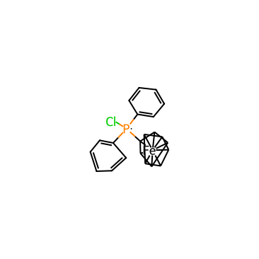 Cl[P](c1ccccc1)(c1ccccc1)[C]12[CH]3[CH]4[CH]5[CH]1[Fe]45321678[CH]2[CH]1[CH]6[CH]7[CH]28